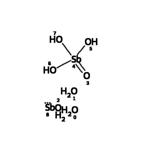 O.O.O.[O]=[Sb]([OH])([OH])[OH].[Sb]